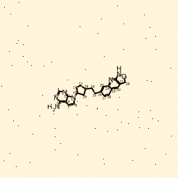 Nc1ncnc2c1ccn2C1CCC(CCc2ccc3cc4c(nc3c2)NOC4)C1